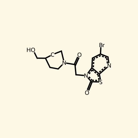 O=C(Cn1c(=O)sc2ncc(Br)cc21)N1CCC(CO)CC1